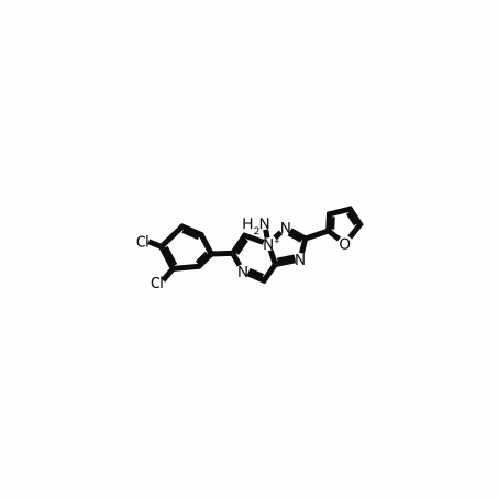 N[N+]12C=C(c3ccc(Cl)c(Cl)c3)N=CC1=NC(c1ccco1)=N2